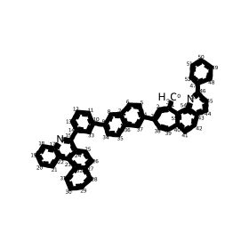 CC1=C=C(c2ccc3cc(-c4cccc(-c5nc6ccccc6c6c5ccc5ccccc56)c4)ccc3c2)C=Cc2ccc3ccc(-c4ccccc4)nc3c21